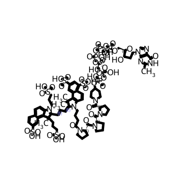 Cc1nc2c(ncn2[C@H]2CC(O)[C@@H](COP(=O)(O)OP(=O)(O)OP(=O)(O)OP(=O)(O)OP(=O)(O)OP(=O)(O)OC3CCN(C(=O)[C@@H]4CCCN4C(=O)[C@@H]4CCCN4C(=O)[C@@H]4CCCN4C(=O)CCCN4/C(=C/C=C/C5=[N+](CCCS(=O)(=O)O)c6ccc7ccc(S(=O)(=O)O)cc7c6C5(C)CCCS(=O)(=O)O)C(C)(C)c5c4ccc4c(S(=O)(=O)O)cc(S(=O)(=O)O)cc54)CC3)O2)c(=O)[nH]1